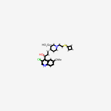 COc1ccc2ncc(Cl)c([C@@H](O)CC[C@H]3CCN(CCSC4CCC4)C[C@H]3C(=O)O)c2c1